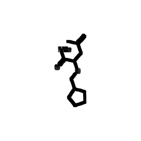 C=C(C)CC(OCC1CCCC1)C(=O)NC